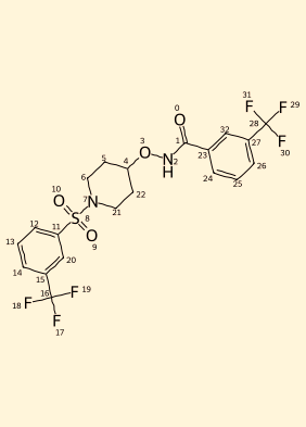 O=C(NOC1CCN(S(=O)(=O)c2cccc(C(F)(F)F)c2)CC1)c1cccc(C(F)(F)F)c1